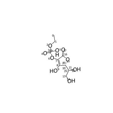 CCOP(=O)(O)OC1=C(O)[C@@H]([C@@H](O)CO)OC1=O